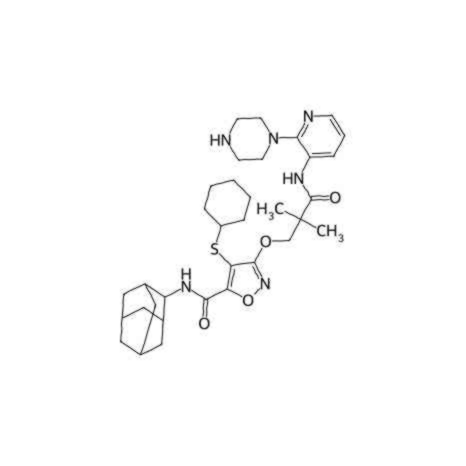 CC(C)(COc1noc(C(=O)NC2C3CC4CC(C3)CC2C4)c1SC1CCCCC1)C(=O)Nc1cccnc1N1CCNCC1